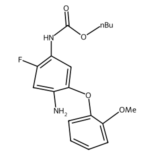 CCCCOC(=O)Nc1cc(Oc2ccccc2OC)c(N)cc1F